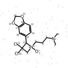 CN(C)CCC[N+]1([O-])CC(Cl)(Cl)C1c1ccc2c(c1)OCO2